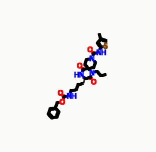 CCCN1C(=O)[C@H](CCCCNC(=O)OCc2ccccc2)NC(=O)C12CCN(C(=O)Nc1cc(C)cs1)CC2